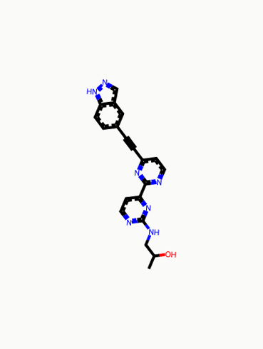 CC(O)CNc1nccc(-c2nccc(C#Cc3ccc4[nH]ncc4c3)n2)n1